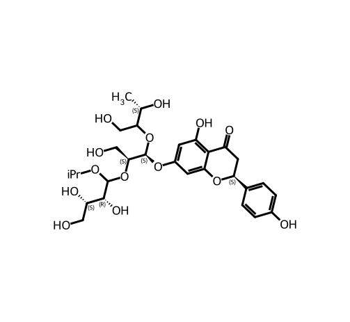 CC(C)OC(O[C@@H](CO)[C@H](Oc1cc(O)c2c(c1)O[C@H](c1ccc(O)cc1)CC2=O)OC(CO)[C@H](C)O)[C@H](O)[C@@H](O)CO